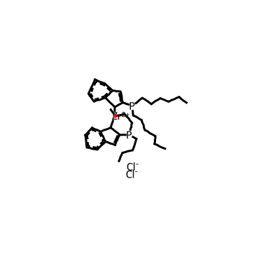 CCCCCCP(CCCCCC)C1=Cc2ccccc2[CH]1[Zr+2][CH]1C(P(CCCC)CCCC)=Cc2ccccc21.[Cl-].[Cl-]